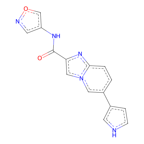 O=C(Nc1cnoc1)c1cn2cc(-c3cc[nH]c3)ccc2n1